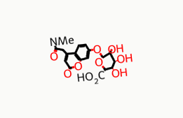 CNC(=O)Cc1cc(=O)oc2cc(OC3OC(C(=O)O)[C@@H](O)[C@@H](O)C3O)ccc12